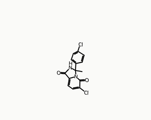 CC1(c2ccc(Cl)cc2)NC(=O)c2ccc(Cl)c(=O)n21